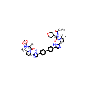 COC(=O)N[C@H](C(=O)N1[C@@H](C)CC[C@H]1c1ncc(-c2ccc(-c3ccc(-c4cnc([C@@H]5CC[C@H](C)N5C(=O)[C@@H](NC5OCO5)C(C)C)[nH]4)cc3)cc2)[nH]1)C1CCOCC1